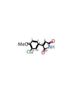 COc1ccc(C2=CC(=O)NC2=O)cc1Cl